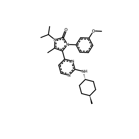 COc1cccc(-n2c(-c3ccnc(N[C@H]4CC[C@H](C)CC4)n3)c(C)n(C(C)C)c2=O)c1